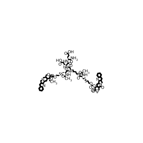 CC[C@]1(OC(=O)OCCSSC[C@@H](NC(C)=O)C(=O)N[C@@H](CCCCNC(=O)[C@@H](CSSCCOC(=O)O[C@]2(CC)C(=O)OCc3c2cc2n(c3=O)Cc3cc4ccccc4nc3-2)NC(C)=O)C(=O)N[C@@H](CCC(=O)O)C(=O)N[C@@H](CCC(=O)O)C(N)=O)C(=O)OCC2=C1C=C1c3nc4ccccc4cc3CN1C2